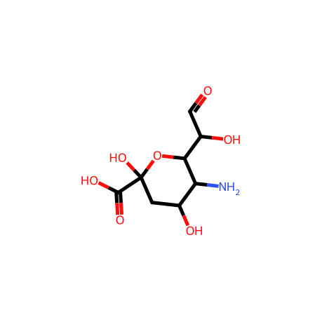 NC1C(O)CC(O)(C(=O)O)OC1C(O)C=O